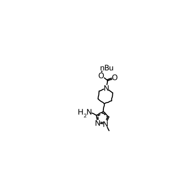 CCCCOC(=O)N1CCC(c2cn(C)nc2N)CC1